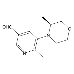 Cc1ncc(C=O)cc1N1CCOC[C@@H]1C